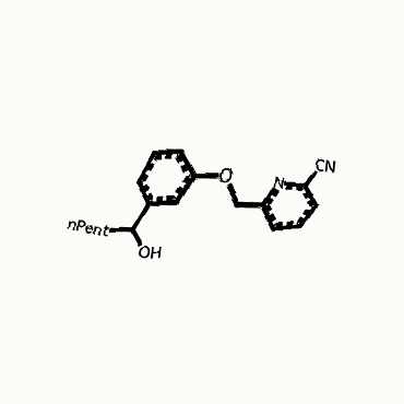 CCCCCC(O)c1cccc(OCc2cccc(C#N)n2)c1